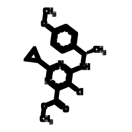 COC(=O)c1nc(C2CC2)nc(N[C@@H](C)c2ccc(OC)cc2)c1Cl